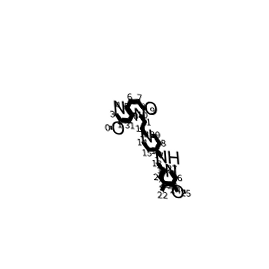 COc1cnc2ccc(=O)n(CCN3CCC(NCc4cc(C)c(OC)cn4)CC3)c2c1